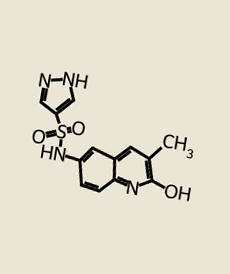 Cc1cc2cc(NS(=O)(=O)c3cn[nH]c3)ccc2nc1O